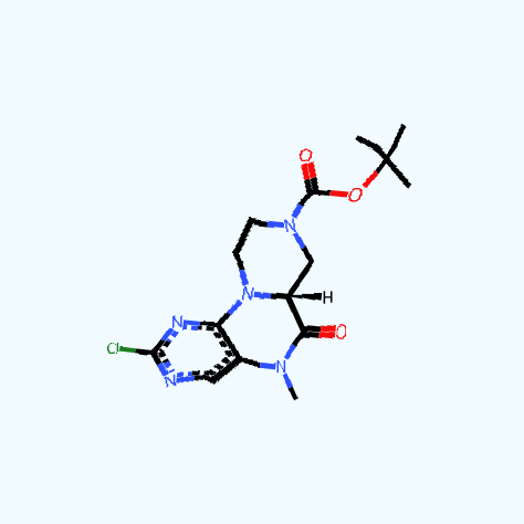 CN1C(=O)[C@H]2CN(C(=O)OC(C)(C)C)CCN2c2nc(Cl)ncc21